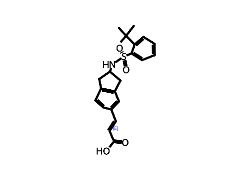 CC(C)(C)c1ccccc1S(=O)(=O)NC1Cc2ccc(/C=C/C(=O)O)cc2C1